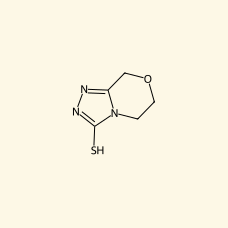 Sc1nnc2n1CCOC2